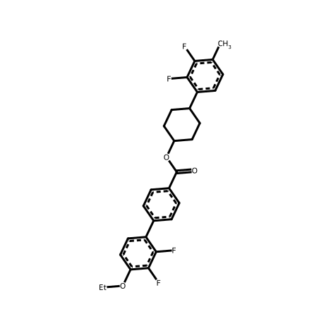 CCOc1ccc(-c2ccc(C(=O)OC3CCC(c4ccc(C)c(F)c4F)CC3)cc2)c(F)c1F